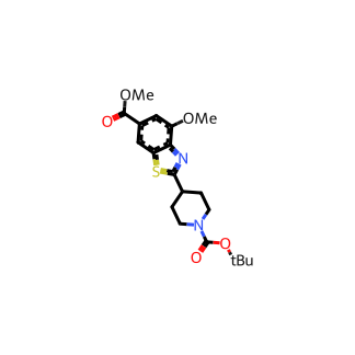 COC(=O)c1cc(OC)c2nc(C3CCN(C(=O)OC(C)(C)C)CC3)sc2c1